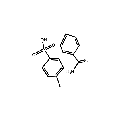 Cc1ccc(S(=O)(=O)O)cc1.NC(=O)c1ccccc1